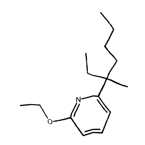 CCCCC(C)(CC)c1cccc(OCC)n1